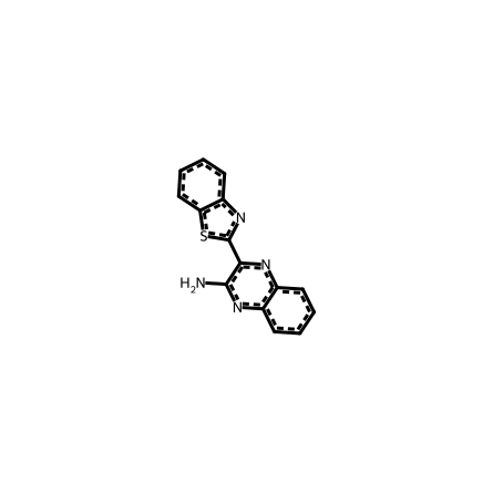 Nc1nc2ccccc2nc1-c1nc2ccccc2s1